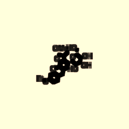 CCOc1ccc(Cc2cc([C@@H]3O[C@H](CO)[C@@H](O)[C@H](O)[C@H]3O)c3c(c2Cl)OCC3COC)cc1